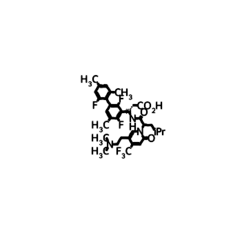 Cc1cc(C)c(-c2cc(C)c(F)c([C@H](CC(=O)O)NC(=O)C(CC(C)C)n3cc(CCN(C)C)c(C(F)(F)F)cc3=O)c2F)c(F)c1